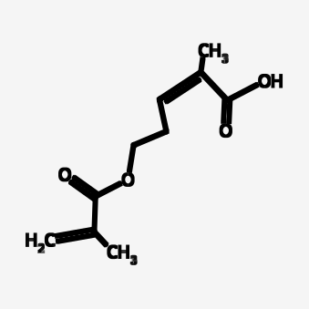 C=C(C)C(=O)OCCC=C(C)C(=O)O